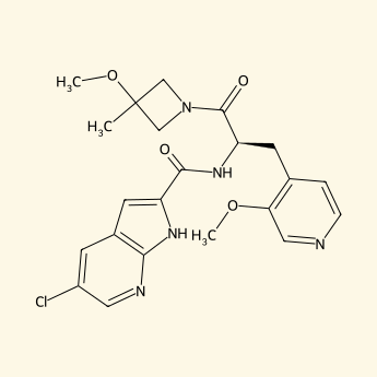 COc1cnccc1C[C@@H](NC(=O)c1cc2cc(Cl)cnc2[nH]1)C(=O)N1CC(C)(OC)C1